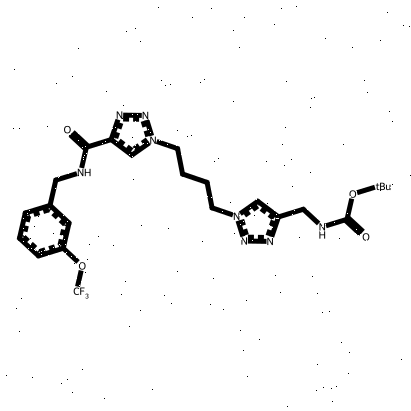 CC(C)(C)OC(=O)NCc1cn(CCCCn2cc(C(=O)NCc3cccc(OC(F)(F)F)c3)nn2)nn1